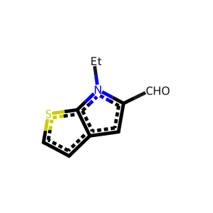 CCn1c(C=O)cc2ccsc21